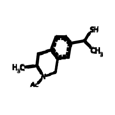 CC(=O)N1Cc2cc(C(C)S)ccc2CC1C